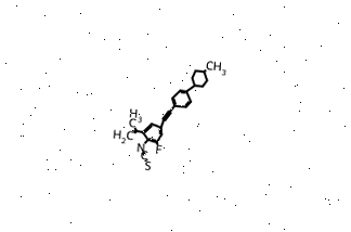 C=C(C)c1cc(C#Cc2ccc(C3CCC(C)CC3)cc2)cc(F)c1N=C=S